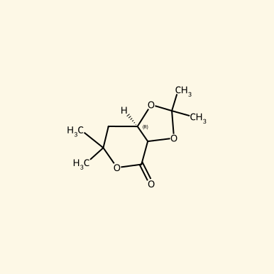 CC1(C)C[C@H]2OC(C)(C)OC2C(=O)O1